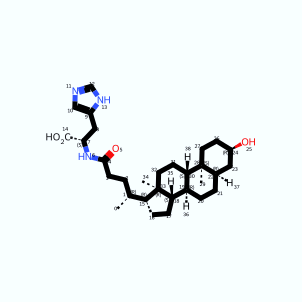 C[C@H](CCC(=O)N[C@@H](Cc1cnc[nH]1)C(=O)O)[C@H]1CC[C@H]2[C@@H]3CC[C@@H]4C[C@H](O)CC[C@]4(C)[C@H]3CC[C@]12C